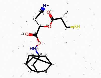 C[C@H](CS)C(=O)O[C@@H](CC#N)C(=O)ONC12CC3CC(CC(C3)C1)C2